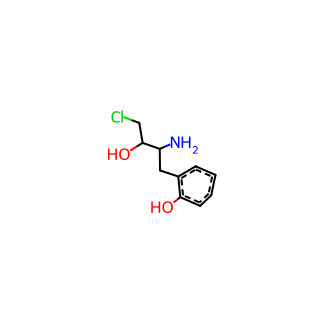 NC(Cc1ccccc1O)C(O)CCl